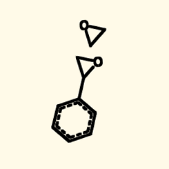 C1CO1.c1ccc(C2CO2)cc1